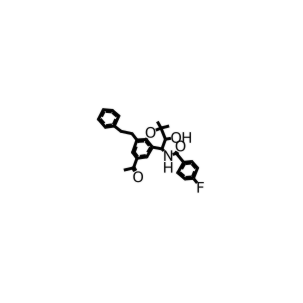 CC(=O)c1cc(CCc2ccccc2)c2c(c1)C(NC(=O)c1ccc(F)cc1)C(O)C(C)(C)O2